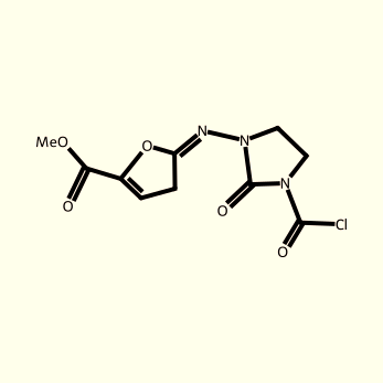 COC(=O)C1=CCC(=NN2CCN(C(=O)Cl)C2=O)O1